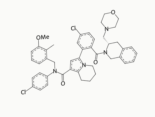 COc1cccc(CN(C(=O)c2cc(-c3cc(Cl)ccc3C(=O)N3Cc4ccccc4C[C@H]3CN3CCOCC3)n3c2CCCC3)c2ccc(Cl)cc2)c1C